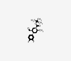 C[C@H]1C[C@H](c2ccc(F)c(F)c2)[C@@H](C=O)CN1C(=O)OC(C)(C)C